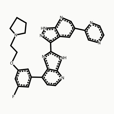 Fc1cc(OCCN2CCCC2)cc(-c2ccnc3[nH]c(-c4n[nH]c5ncc(-c6cnccn6)cc45)nc23)c1